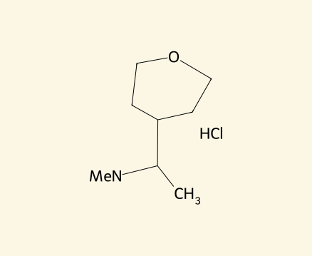 CNC(C)C1CCOCC1.Cl